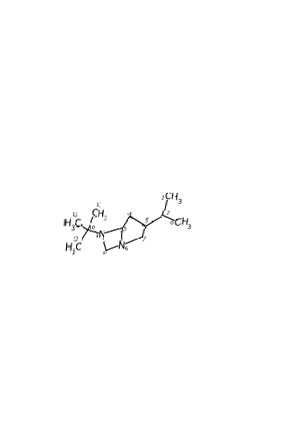 CC(C)C1CC2N(C1)CN2C(C)(C)C